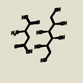 NC(CC(=O)O)C(=O)O.OC[C@@H](O)[C@@H](O)[C@H](O)[C@H](O)CO